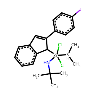 C[SiH](C)[Zr]([Cl])([Cl])([NH]C(C)(C)C)[CH]1C(c2ccc(I)cc2)=Cc2ccccc21